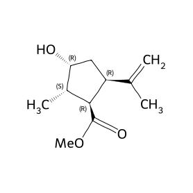 C=C(C)[C@@H]1C[C@@H](O)[C@@H](C)[C@@H]1C(=O)OC